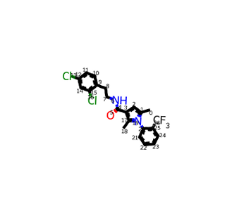 Cc1cc(C(=O)NCCc2ccc(Cl)cc2Cl)c(C)n1-c1ccccc1C(F)(F)F